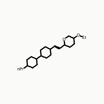 CCCC1CCC(C2CCC(/C=C/C3CCC(OCC)CO3)CC2)CC1